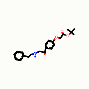 CC(C)(C)OC(=O)COc1ccc(C(=O)CNCCc2ccccc2)cc1